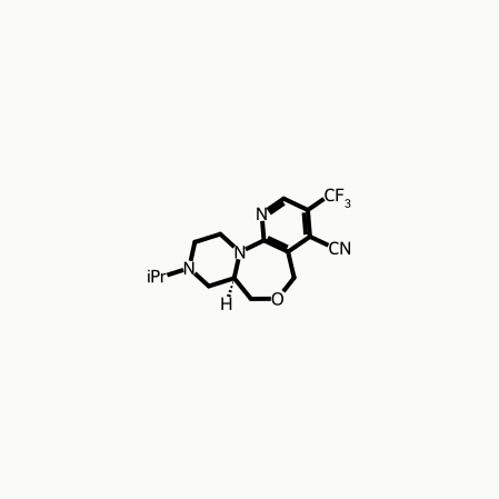 CC(C)N1CCN2c3ncc(C(F)(F)F)c(C#N)c3COC[C@H]2C1